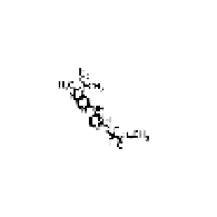 CCOC(=O)C(F)(F)CNc1nccc(Nc2cc3c(cn2)nc(C)n3C(C)C)n1